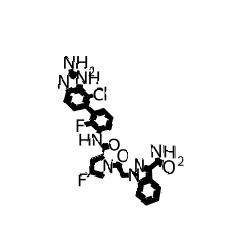 NC(=O)c1nn(CC(=O)N2C[C@H](F)C[C@H]2C(=O)Nc2cccc(-c3ccc4nc(N)[nH]c4c3Cl)c2F)c2ccccc12